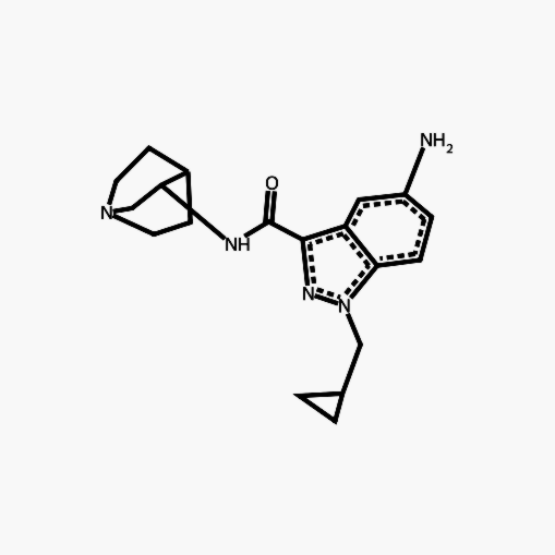 Nc1ccc2c(c1)c(C(=O)NC1CN3CCC1CC3)nn2CC1CC1